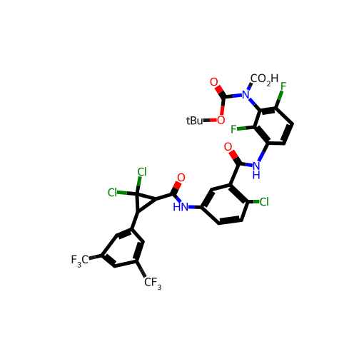 CC(C)(C)OC(=O)N(C(=O)O)c1c(F)ccc(NC(=O)c2cc(NC(=O)C3C(c4cc(C(F)(F)F)cc(C(F)(F)F)c4)C3(Cl)Cl)ccc2Cl)c1F